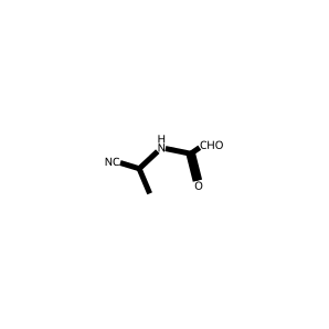 CC(C#N)NC(=O)C=O